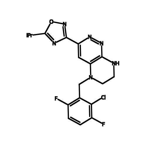 CC(C)c1nc(-c2cc3c(nn2)NCCN3Cc2c(F)ccc(F)c2Cl)no1